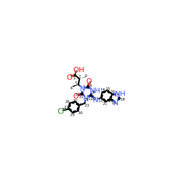 C[C@@H](C(=O)O)[C@H](C)n1c(=O)[nH]/c(=N\c2ccc3[nH]cnc3c2)n(Cc2ccc(Cl)cc2)c1=O